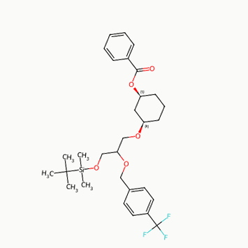 CC(C)(C)[Si](C)(C)OCC(CO[C@@H]1CCC[C@H](OC(=O)c2ccccc2)C1)OCc1ccc(C(F)(F)F)cc1